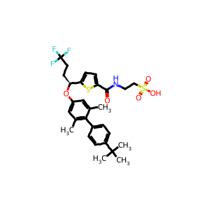 Cc1cc(O[C@@H](CCC(F)(F)F)c2ccc(C(=O)NCCS(=O)(=O)O)s2)cc(C)c1-c1ccc(C(C)(C)C)cc1